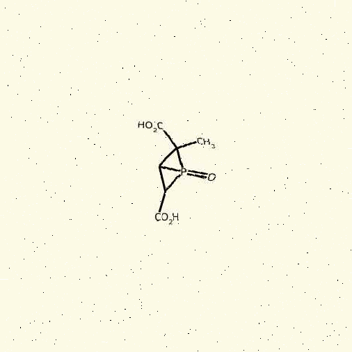 CC1(C(=O)O)C2C(C(=O)O)P21=O